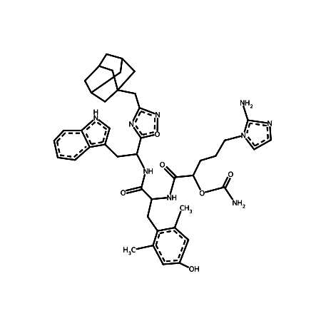 Cc1cc(O)cc(C)c1CC(NC(=O)C(CCCn1ccnc1N)OC(N)=O)C(=O)NC(Cc1c[nH]c2ccccc12)c1nc(CC23CC4CC(CC(C4)C2)C3)no1